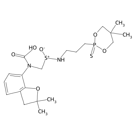 CC1(C)COP(=S)(CCCN[S+]([O-])CN(C(=O)O)c2cccc3c2OC(C)(C)C3)OC1